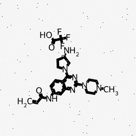 C=CC(=O)Nc1ccc2c(N3CC[C@@H](N)C3)nc(N3CCN(C)CC3)nc2c1.O=C(O)C(F)(F)F